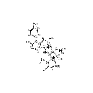 COc1c(F)cc(Cl)cc1C(Nc1cc(F)cc2c1ccc(=O)n2-c1ccc(F)cc1)C(O)(CN(C)C)C(F)(F)F